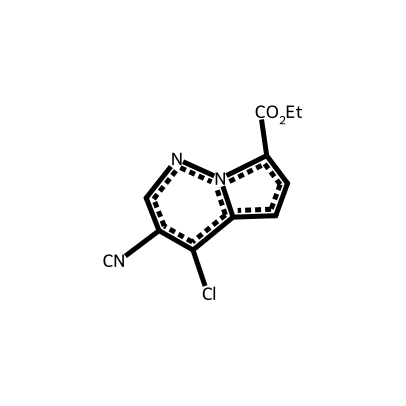 [C-]#[N+]c1cnn2c(C(=O)OCC)ccc2c1Cl